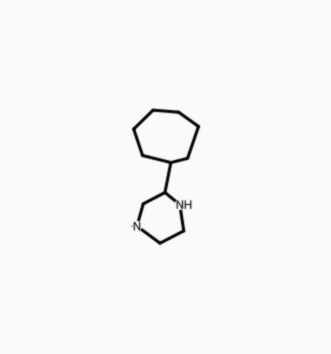 C1CCCC(C2C[N]CCN2)CC1